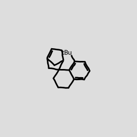 CC(C)(C)c1cccc2c1C1(CCC2)CC2=CCC1C2